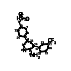 Nc1ncc(-c2ccc(C[SH](=O)=O)cc2)cc1-c1cccc(C(F)(F)F)c1